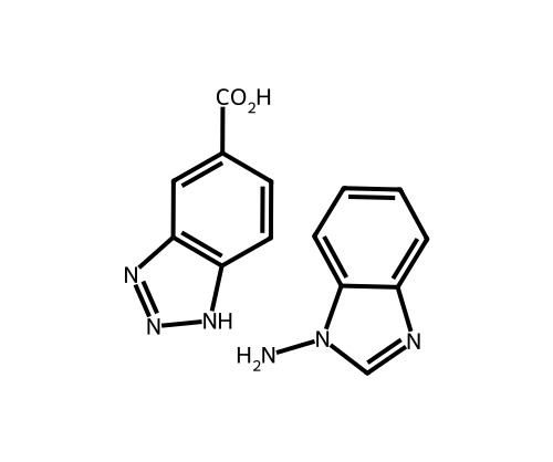 Nn1cnc2ccccc21.O=C(O)c1ccc2[nH]nnc2c1